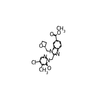 COC(=O)c1ccc2nc(Cn3ncc(Cl)c(C)c3=O)n(C[C@@H]3CCO3)c2c1